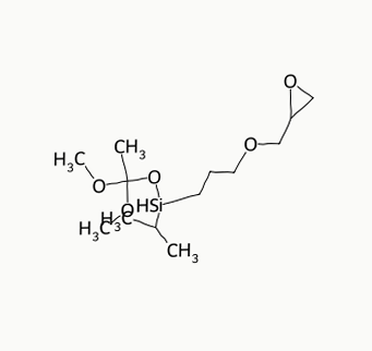 COC(C)(OC)O[SiH](CCCOCC1CO1)C(C)C